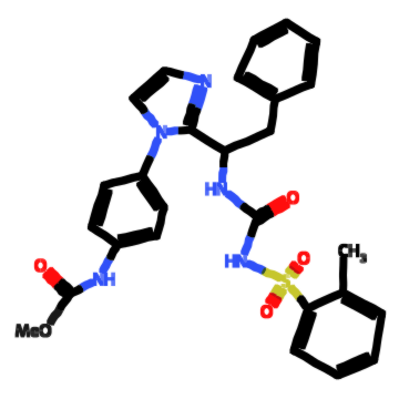 COC(=O)Nc1ccc(-n2ccnc2C(Cc2ccccc2)NC(=O)NS(=O)(=O)c2ccccc2C)cc1